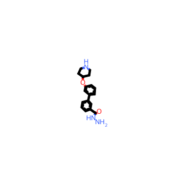 NNC(=O)c1cccc(-c2cccc(OC3CCNCC3)c2)c1